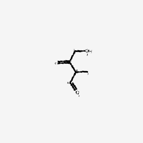 C=C(CO)C(C)C=O